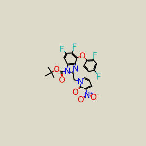 CC(C)(C)OC(=O)n1c(Cn2cccc([N+](=O)[O-])c2=O)nc2c(Oc3ccc(F)cc3F)c(F)c(F)cc21